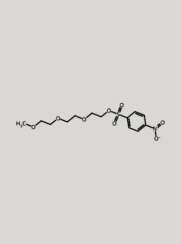 COCCOCCOCCOS(=O)(=O)c1ccc([N+](=O)[O-])cc1